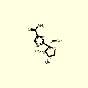 NC(=O)c1c[se]c([C@@]2(CO)OC[C@H](O)[C@@H]2O)n1